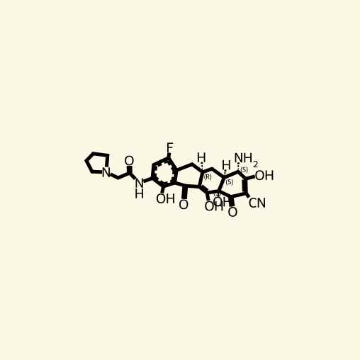 N#CC1=C(O)[C@@H](N)[C@@H]2C[C@@H]3Cc4c(F)cc(NC(=O)CN5CCCC5)c(O)c4C(=O)C3=C(O)[C@]2(O)C1=O